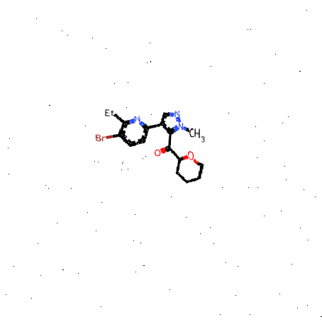 CCc1nc(-c2cnn(C)c2C(=O)C2CCCCO2)ccc1Br